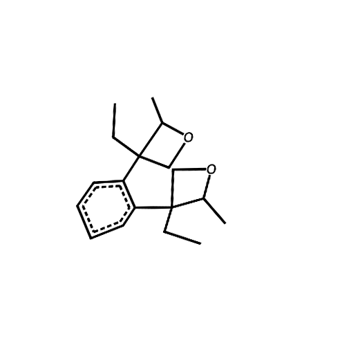 CCC1(c2ccccc2C2(CC)COC2C)COC1C